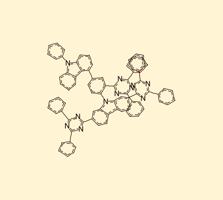 c1ccc(-c2nc(-c3ccccc3)nc(-c3ccc4c5ccc(-c6nc(-c7ccccc7)nc(-c7ccccc7)n6)cc5n(-c5ccc(-c6cccc7c6c6ccccc6n7-c6ccccc6)cc5-c5nc(-c6ccccc6)nc(-c6ccccc6)n5)c4c3)n2)cc1